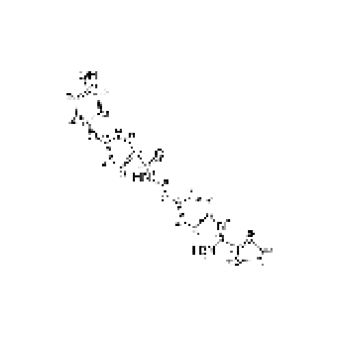 NC(=Nc1ccc(CCNC(=O)c2ccc(Oc3ccc(O)cc3)cc2)cc1)c1cccs1